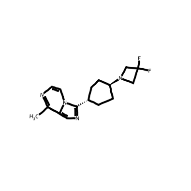 Cc1nccn2c1cnc2[C@H]1CC[C@H](N2CC(F)(F)C2)CC1